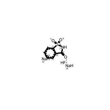 F.O=C1NS(=O)(=O)c2ccccc21.[NaH].[NaH]